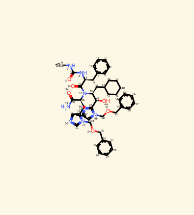 CC(C)(C)NC(=O)N[C@@H](Cc1ccccc1)C(=O)N([C@@H](Cc1cncn1COCc1ccccc1)C(N)=O)[C@@H](CC1CCCCC1)[C@@H](O)c1nccn1COCc1ccccc1